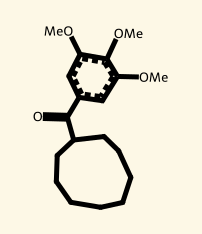 COc1cc(C(=O)C2CCCCCCCC2)cc(OC)c1OC